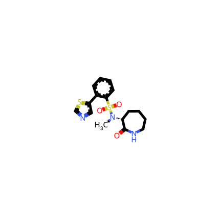 CN([C@@H]1CCCCNC1=O)S(=O)(=O)c1ccccc1-c1cncs1